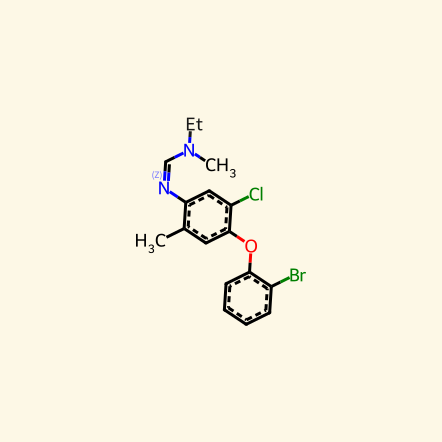 CCN(C)/C=N\c1cc(Cl)c(Oc2ccccc2Br)cc1C